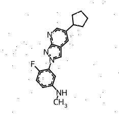 CNc1ccc(F)c(-n2cc3cc(C4CCCC4)cnc3n2)c1